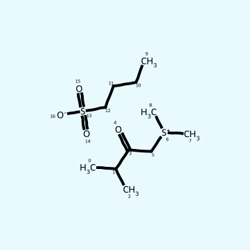 CC(C)C(=O)C[S+](C)C.CCCCS(=O)(=O)[O-]